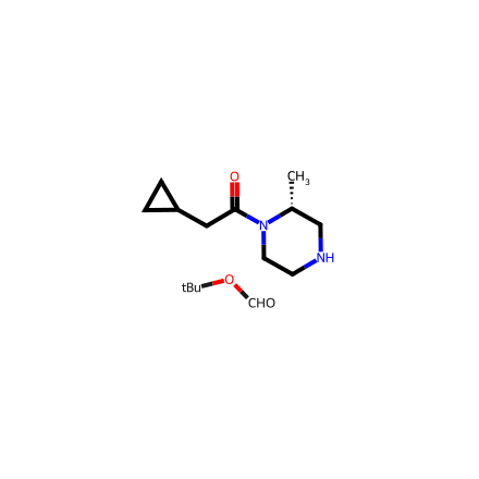 CC(C)(C)OC=O.C[C@@H]1CNCCN1C(=O)CC1CC1